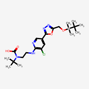 CC(C)(C)N(CCNc1ncc(-c2nnc(CO[Si](C)(C)C(C)(C)C)o2)cc1Cl)C(=O)O